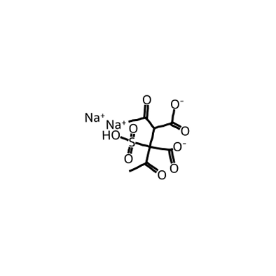 CC(=O)C(C(=O)[O-])C(C(C)=O)(C(=O)[O-])S(=O)(=O)O.[Na+].[Na+]